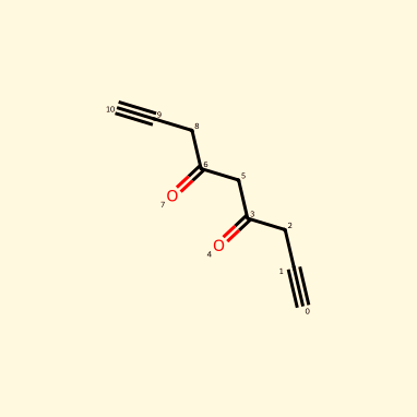 C#CCC(=O)CC(=O)CC#C